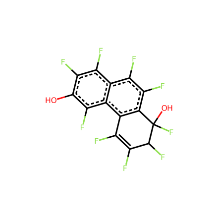 Oc1c(F)c(F)c2c(F)c(F)c3c(c2c1F)C(F)=C(F)C(F)C3(O)F